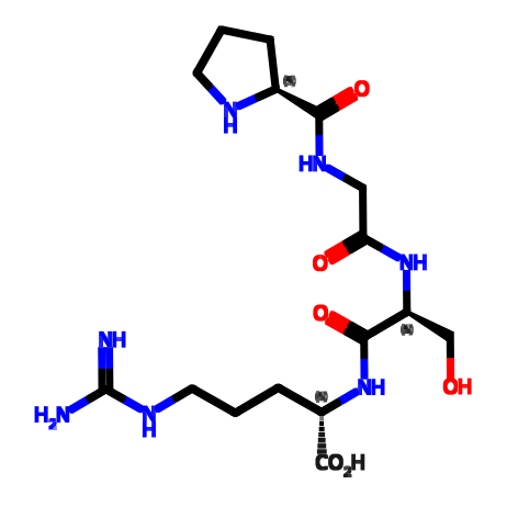 N=C(N)NCCC[C@H](NC(=O)[C@H](CO)NC(=O)CNC(=O)[C@@H]1CCCN1)C(=O)O